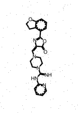 N=C(Nc1ccccn1)N1CCN(/C=C2/N=C(c3cccc4c3CCO4)OC2=O)CC1